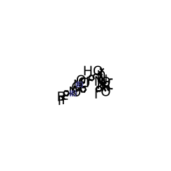 CC(C)(C)C(O)(CCc1ccc(Cl)cc1)Cn1cncn1.CCCOc1nc2ccc(I)cc2c(=O)n1CCC.CO/N=C(/C(=O)OC)c1ccccc1CO/N=C(\C)c1cccc(C(F)(F)F)c1